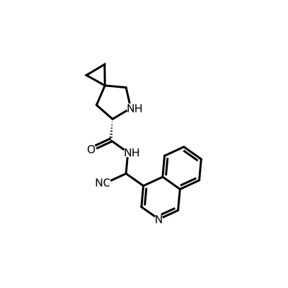 N#CC(NC(=O)[C@@H]1CC2(CC2)CN1)c1cncc2ccccc12